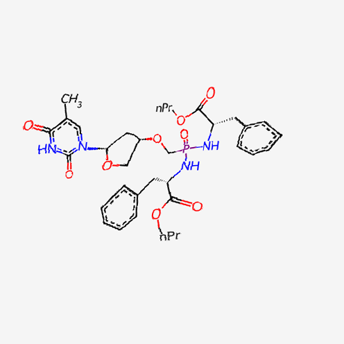 CCCOC(=O)[C@H](Cc1ccccc1)NP(=O)(CO[C@H]1CO[C@@H](n2cc(C)c(=O)[nH]c2=O)C1)N[C@@H](Cc1ccccc1)C(=O)OCCC